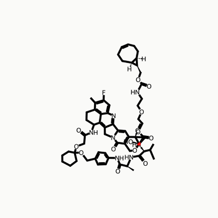 CC[C@@]12C[C@]1(O)OCc1c2cc2n(c1=O)Cc1c-2nc2cc(F)c(C)c3c2c1C(NC(=O)COC1(OCc2ccc(NC(=O)[C@H](C)NC(=O)[C@@H](NC(=O)OCCOCCNC(=O)OC[C@@H]4[C@@H]5CC/C=C\CC[C@@H]54)C(C)C)cc2)CCCCC1)CC3